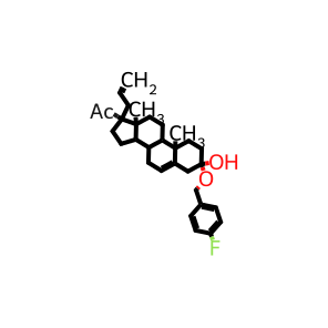 C=CCC1(C(C)=O)CCC2C3CC=C4CC(O)(OCc5ccc(F)cc5)CCC4(C)C3CCC21C